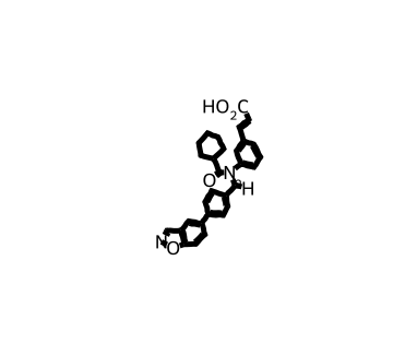 [2H]C(c1ccc(-c2ccc3oncc3c2)cc1)N(C(=O)C1CCCCC1)c1cccc(/C=C/C(=O)O)c1